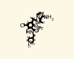 Cc1nc(C(C)c2cc(Cl)c(F)c(C(=O)NCC3CCN(C)CC3)c2OC(C)C)n2ccnc(N)c12